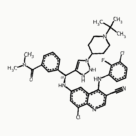 CN(C)C(=O)c1cccc([C@H](Nc2cc(Cl)c3ncc(C#N)c(Nc4cccc(Cl)c4F)c3c2)C2=CN(C3CCN(C(C)(C)C)CC3)NN2)c1